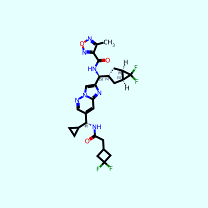 Cc1nonc1C(=O)N[C@H](c1cn2ncc([C@H](NC(=O)CC3CC(F)(F)C3)C3CC3)cc2n1)[C@@H]1C[C@@H]2[C@H](C1)C2(F)F